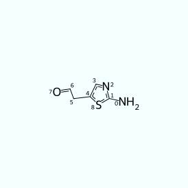 Nc1ncc(CC=O)s1